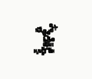 CC(C)(C)C(=O)OCOC(=O)C1(C=Cc2cncs2)CS[C@@H]2C(NC(=O)C(=NO)c3csc(N)n3)C(=O)N2C1